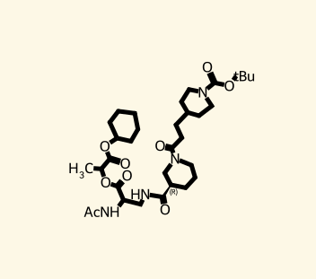 CC(=O)NC(CNC(=O)[C@@H]1CCCN(C(=O)CCC2CCN(C(=O)OC(C)(C)C)CC2)C1)C(=O)OC(C)C(=O)OC1CCCCC1